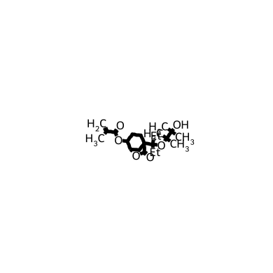 C=C(C)C(=O)OC1CCC2(C(CC)(CC)OC(C)(C)C(C)(C)O)CC1OC2=O